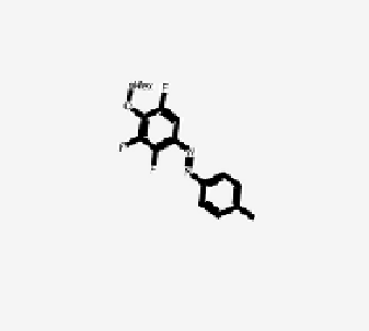 CCCCCCOc1c(F)cc(/N=N/c2ccc(C)cc2)c(F)c1F